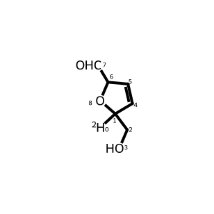 [2H]C1(CO)C=CC(C=O)O1